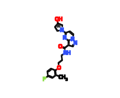 Cc1cc(F)ccc1OCCCNC(=O)c1cnn2ccc(N3CC[C@@H](O)C3)nc12